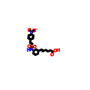 O=C(O)CCC/C=C/C1CCCC(NS(=O)(=O)/C=C/c2ccc([N+](=O)[O-])cc2)C1